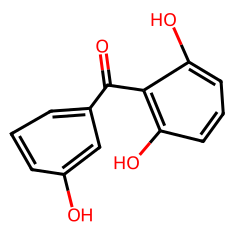 O=C(c1cccc(O)c1)c1c(O)cccc1O